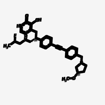 CO[C@@H]1CCN(Cc2ccc(C#Cc3ccc([C@H](CNCC(C)F)Cc4nc[nH]c(=O)c4O)cc3)cc2)C1